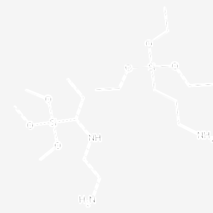 CCC(NCCN)[Si](OC)(OC)OC.CCO[Si](CCCN)(OCC)OCC